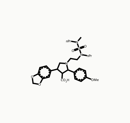 CCCN(C)S(=O)(=O)N(CCC)CCN1CC(c2ccc3c(c2)OCO3)C(C(=O)O)C1c1ccc(OC)cc1